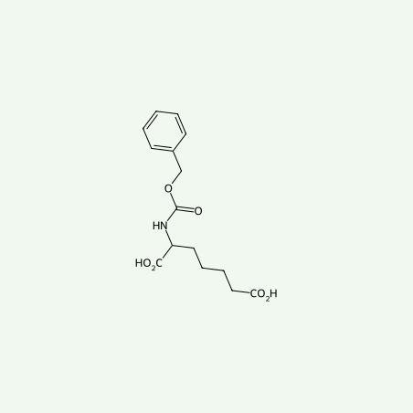 O=C(O)CCCCC(NC(=O)OCc1ccccc1)C(=O)O